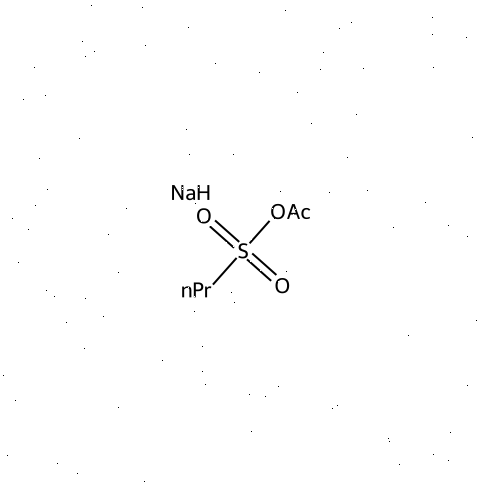 CCCS(=O)(=O)OC(C)=O.[NaH]